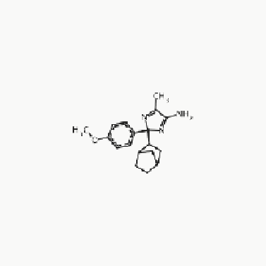 COc1ccc(C2(C3CC4CCC3C4)N=C(C)C(N)=N2)cc1